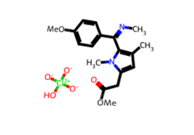 CN=C(c1ccc(OC)cc1)c1c(C)cc(CC(=O)OC)n1C.[O-][Cl+3]([O-])([O-])O